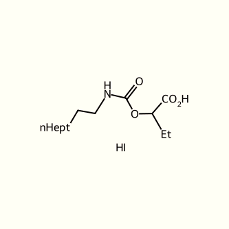 CCCCCCCCCNC(=O)OC(CC)C(=O)O.I